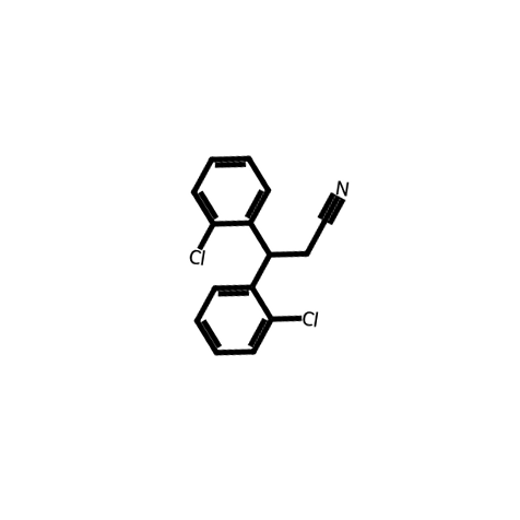 N#CCC(c1ccccc1Cl)c1ccccc1Cl